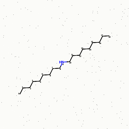 CCCCCCCCCNCCCCCCCCC